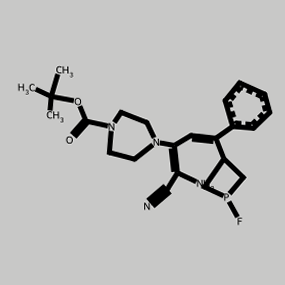 CC(C)(C)OC(=O)N1CCN(C(/C=C(/c2ccccc2)C2CP(F)C2)=C(/N)C#N)CC1